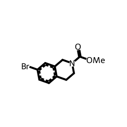 COC(=O)N1CCc2ccc(Br)cc2C1